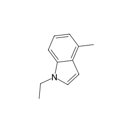 CCn1ccc2c(C)cccc21